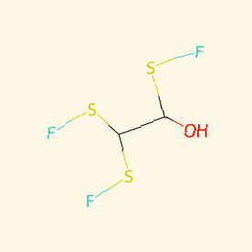 OC(SF)C(SF)SF